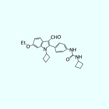 CCOc1ccc2c(C=O)c(-c3ccc(NC(=O)NC4CCC4)cc3)n(C3CCC3)c2c1